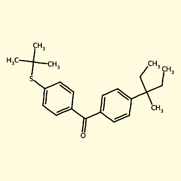 CCC(C)(CC)c1ccc(C(=O)c2ccc(SC(C)(C)C)cc2)cc1